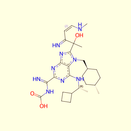 CN/C=C\C(=N)C(C)(O)c1nc2nc(C(=N)NC(=O)O)nc(N[C@H](C)C3CCC3)c2n1C[C@H]1CC[C@H](C)CC1